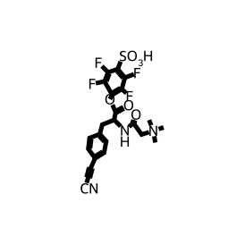 C[N+](C)(C)CC(=O)NC(Cc1ccc(C#CC#N)cc1)C(=O)Oc1c(F)c(F)c(S(=O)(=O)O)c(F)c1F